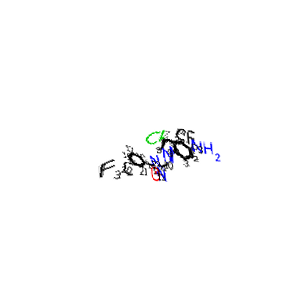 Nc1ccc2c(c(Cl)cn2Cc2noc(-c3cccc(C(F)(F)F)c3)n2)c1C(F)(F)F